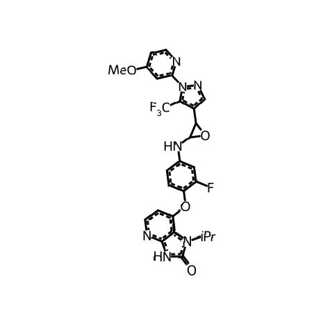 COc1ccnc(-n2ncc(C3OC3Nc3ccc(Oc4ccnc5[nH]c(=O)n(C(C)C)c45)c(F)c3)c2C(F)(F)F)c1